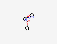 O=C(OCc1ccccc1)N1CCC[C@H]1c1nc2ncccc2o1